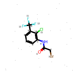 O=C(CBr)Nc1cccc(C(F)(F)F)c1Cl